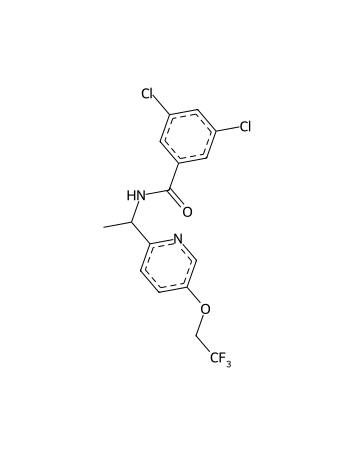 CC(NC(=O)c1cc(Cl)cc(Cl)c1)c1ccc(OCC(F)(F)F)cn1